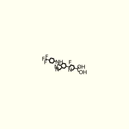 OCC(O)c1cnc(-c2ccc3c(Nc4ccc(C(F)(F)F)cc4)nncc3c2)c(F)c1